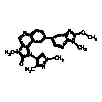 COc1nc2cc(-c3ccc4ncc5c(c4c3)n(-c3cn(C)nc3C)c(=O)n5C)cnc2n1C